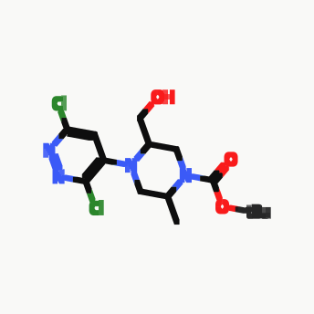 CC1CN(c2cc(Cl)nnc2Cl)C(CO)CN1C(=O)OC(C)(C)C